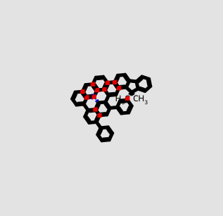 CC1(C)c2ccccc2-c2ccc(-c3cccc(N(c4ccccc4-c4ccc(-c5ccccc5)cc4)c4cccc(-c5ccccc5)c4-c4ccccc4-c4ccccc4)c3)cc21